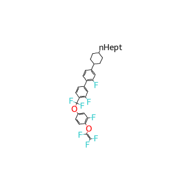 CCCCCCCC1CCC(c2ccc(-c3ccc(C(F)(F)Oc4ccc(OC(F)=C(F)F)c(F)c4)c(F)c3)c(F)c2)CC1